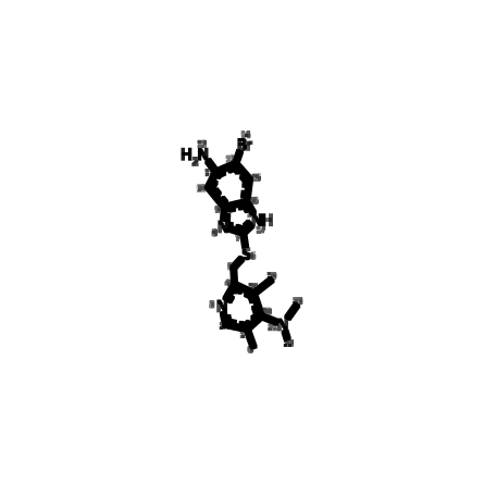 Cc1cnc(CSc2nc3cc(N)c(Br)cc3[nH]2)c(C)c1N(C)C